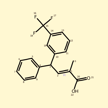 C/C(=C\C(c1ccccc1)c1cccc(C(F)(F)F)c1)C(=O)O